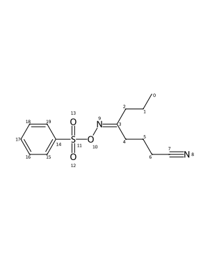 CCCC(CCCC#N)=NOS(=O)(=O)c1ccccc1